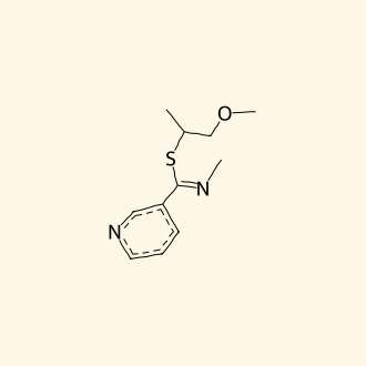 C/N=C(\SC(C)COC)c1cccnc1